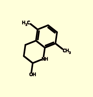 Cc1ccc(C)c2c1CCC(O)N2